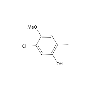 COc1cc(C)c(O)cc1Cl